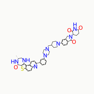 C[C@@H]1CNc2c(sc3ccc4nc(-c5cccc(N6CCN(CC7CCN(c8ccc9c(c8)CN(C8CCC(=O)NC8=O)C9=O)CC7)CC6)c5)ccc4c23)C(=O)N1